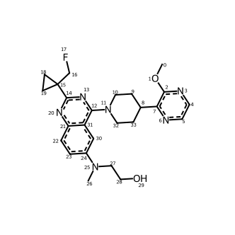 COc1nccnc1C1CCN(c2nc(C3(CF)CC3)nc3ccc(N(C)CCO)cc23)CC1